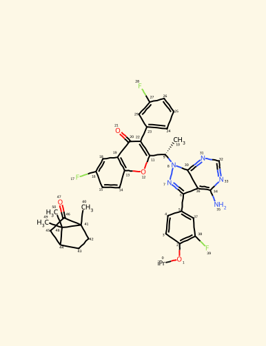 CC(C)Oc1ccc(-c2nn([C@@H](C)c3oc4ccc(F)cc4c(=O)c3-c3cccc(F)c3)c3ncnc(N)c23)cc1F.CC12CCC(CC1=O)C2(C)C